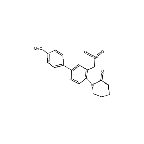 COc1ccc(-c2[c]cc(N3CCCCC3=O)c(C[SH](=O)=O)c2)cc1